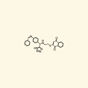 O=C1C=C(SCCNC(c2ccc(/N=C\c3ccccc3)cc2)c2nnn[nH]2)C(=O)c2ccccc21